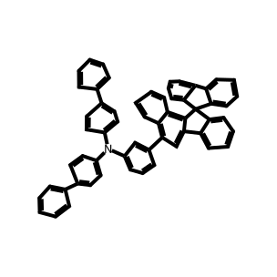 c1ccc(-c2ccc(N(c3ccc(-c4ccccc4)cc3)c3cccc(-c4cc5c(c6ccccc46)C4(c6ccccc6-c6ccccc64)c4ccccc4-5)c3)cc2)cc1